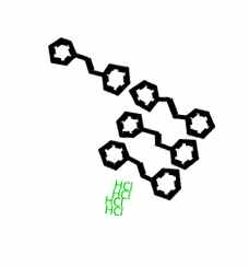 C(=C\c1ccccc1)/c1ccccc1.C(=C\c1ccccc1)/c1ccccc1.C(=C\c1ccccc1)/c1ccccc1.C(=C\c1ccccc1)/c1ccccc1.Cl.Cl.Cl.Cl